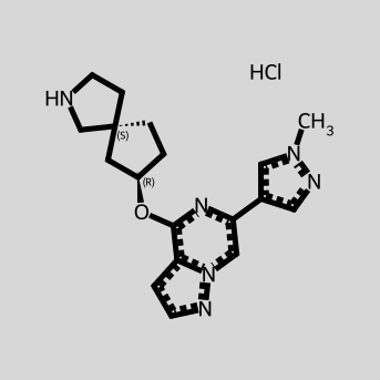 Cl.Cn1cc(-c2cn3nccc3c(O[C@@H]3CC[C@]4(CCNC4)C3)n2)cn1